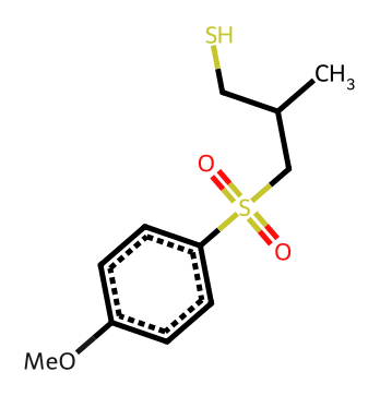 COc1ccc(S(=O)(=O)CC(C)CS)cc1